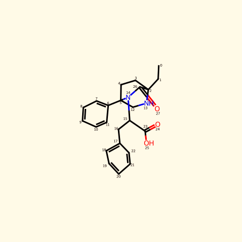 CCC12CCC(c3ccccc3)(CN1)N(C(Cc1ccccc1)C(=O)O)C2=O